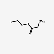 CNCC(=O)OCCCl